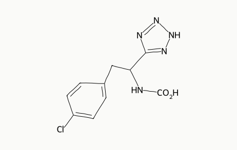 O=C(O)NC(Cc1ccc(Cl)cc1)c1nn[nH]n1